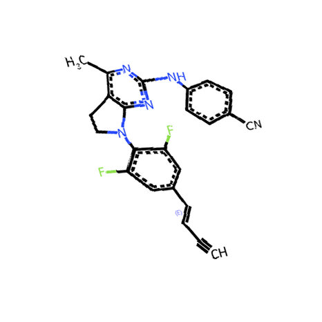 C#C/C=C/c1cc(F)c(N2CCc3c(C)nc(Nc4ccc(C#N)cc4)nc32)c(F)c1